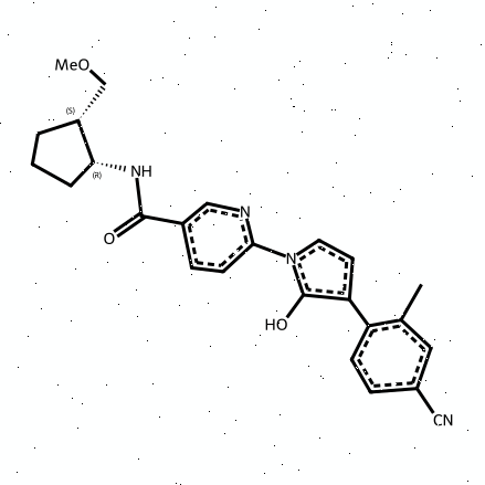 COC[C@H]1CCC[C@H]1NC(=O)c1ccc(-n2ccc(-c3ccc(C#N)cc3C)c2O)nc1